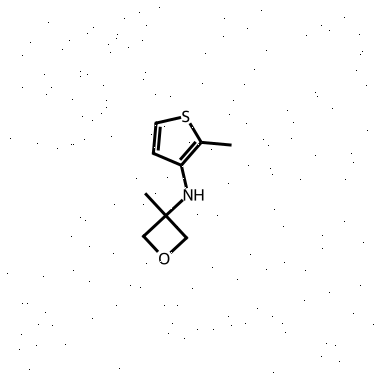 Cc1sccc1NC1(C)COC1